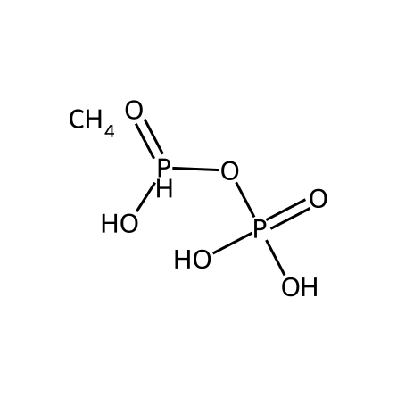 C.O=[PH](O)OP(=O)(O)O